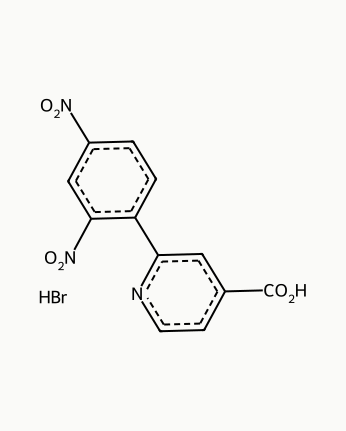 Br.O=C(O)c1ccnc(-c2ccc([N+](=O)[O-])cc2[N+](=O)[O-])c1